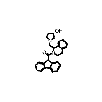 O=C(C1c2ccccc2-c2ccccc21)N1CCc2ccccc2C1CN1CC[C@H](O)C1